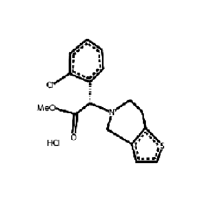 COC(=O)[C@H](c1ccccc1Cl)N1CCc2sccc2C1.Cl